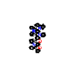 c1ccc(N2c3cc4c(cc3B3c5ccccc5N5c6ccccc6B6c7c(cc2c3c75)-n2c3ccccc3c3cccc6c32)B2c3ccccc3N3c5ccccc5B5c6ccccc6Oc6cc(c2c3c65)O4)cc1